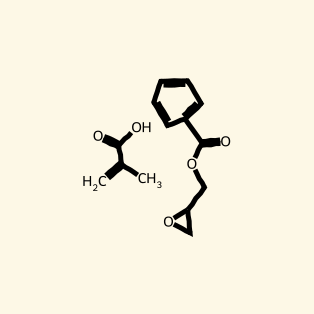 C=C(C)C(=O)O.O=C(OCC1CO1)c1ccccc1